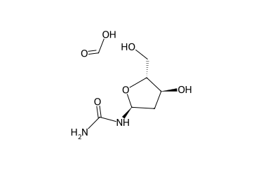 NC(=O)N[C@@H]1C[C@H](O)[C@@H](CO)O1.O=CO